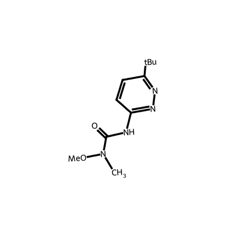 CON(C)C(=O)Nc1ccc(C(C)(C)C)nn1